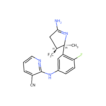 C[C@@]1(c2cc(Nc3ncccc3C#N)ccc2F)N=C(N)C[C@@H]1C(F)(F)F